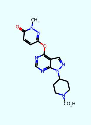 Cn1nc(Oc2ncnc3c2cnn3C2CCN(C(=O)O)CC2)ccc1=O